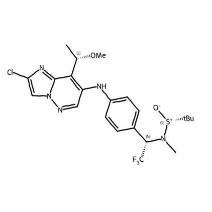 CO[C@@H](C)c1c(Nc2ccc([C@H](N(C)[S@+]([O-])C(C)(C)C)C(F)(F)F)cc2)cnn2cc(Cl)nc12